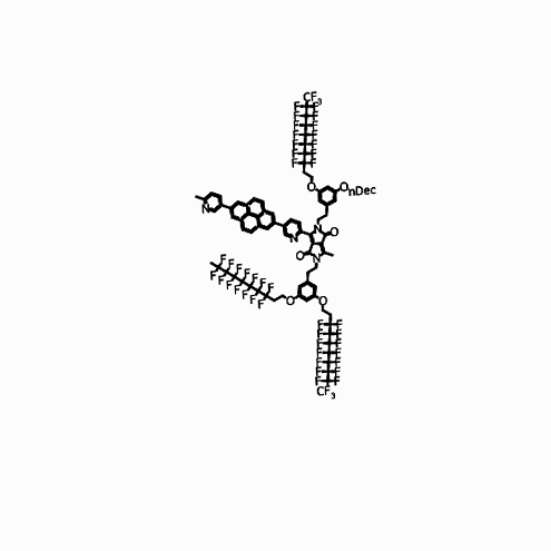 CCCCCCCCCCOc1cc(CCN2C(=O)C3=C(C)N(CCc4cc(OCCC(F)(F)C(F)(F)C(F)(F)C(F)(F)C(F)(F)C(F)(F)C(C)(F)F)cc(OCCC(F)(F)C(F)(F)C(F)(F)C(F)(F)C(F)(F)C(F)(F)C(F)(F)C(F)(F)F)c4)C(=O)C3=C2c2ccc(-c3cc4ccc5cc(-c6ccc(C)nc6)cc6ccc(c3)c4c56)cn2)cc(OCCC(F)(F)C(F)(F)C(F)(F)C(F)(F)C(F)(F)C(F)(F)C(F)(F)C(F)(F)F)c1